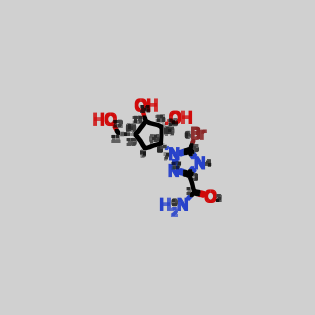 NC(=O)c1nc(Br)n([C@@H]2C[C@H](CO)C(O)[C@@H]2O)n1